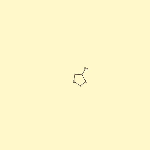 CCC1CS[CH]S1